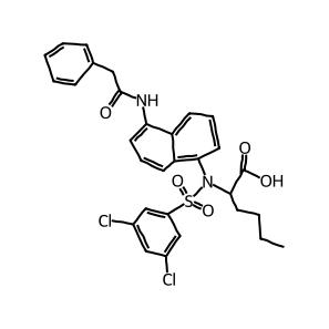 CCCCC(C(=O)O)N(c1cccc2c(NC(=O)Cc3ccccc3)cccc12)S(=O)(=O)c1cc(Cl)cc(Cl)c1